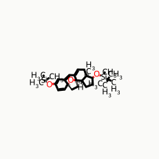 CC(C)(C)[Si](C)(C)OC1CC[C@H]2[C@@]34CC[C@]5(C=CC(O[Si](C)(C)C)=CC5=CC3=CC[C@]12C)O4